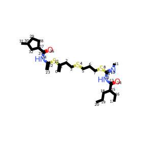 C=C(CCSCCCS/C(=N\C)NC(=O)C(CC)CCC)SC(=C)NC(=O)C1CCC(C)C1